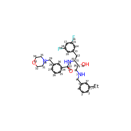 CCc1cccc(CNC[C@@H](O)[C@H](Cc2cc(F)cc(F)c2)NC(=O)c2cccc(CN3CCOCC3)c2)c1